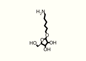 NCCCCCCOC1O[C@H](CO)C(O)C1O